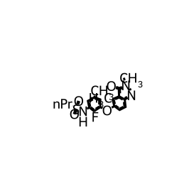 CCCS(=O)(=O)Nc1cc(C)cc(Oc2ccc3ncn(C)c(=O)c3c2C)c1F